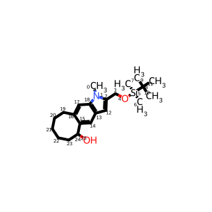 Cn1c(CO[Si](C)(C)C(C)(C)C)cc2cc3c(cc21)CCCCCC3O